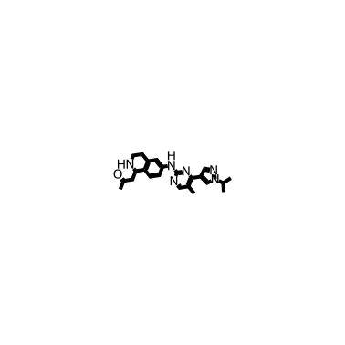 CC(=O)CC1NCCc2cc(Nc3ncc(C)c(-c4cnn(C(C)C)c4)n3)ccc21